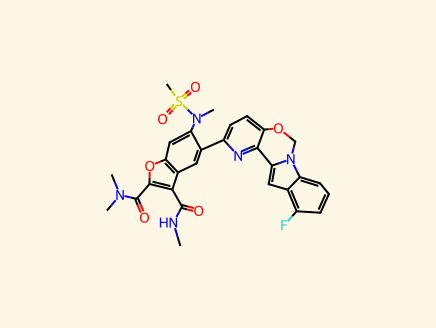 CNC(=O)c1c(C(=O)N(C)C)oc2cc(N(C)S(C)(=O)=O)c(-c3ccc4c(n3)-c3cc5c(F)cccc5n3CO4)cc12